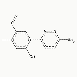 Bc1ccc(-c2cc(C=C)c(C)cc2O)nn1